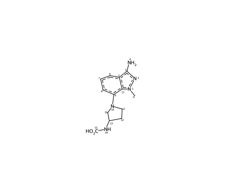 Cn1nc(N)c2cccc(N3CCC(NC(=O)O)C3)c21